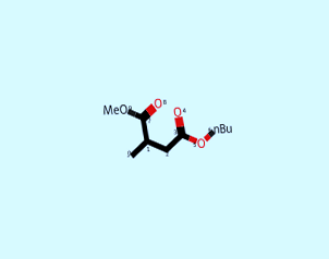 [CH2]C(CC(=O)OCCCC)C(=O)OC